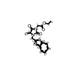 CCOC(=O)CN1C(=O)C(=O)N(Cc2nc3ccccc3s2)C1=O